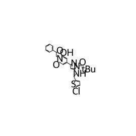 CC(C)(C)C(=O)n1nc(-c2cc(O)n(CC(=O)c3ccccc3)c(=O)c2)cc1NCc1ccc(Cl)s1